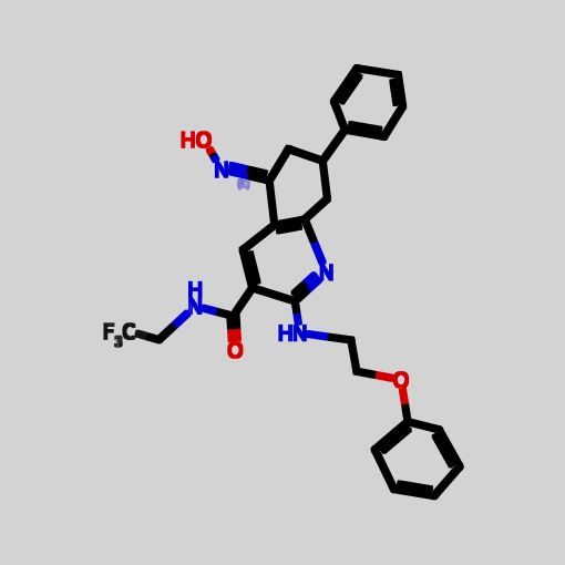 O=C(NCC(F)(F)F)c1cc2c(nc1NCCOc1ccccc1)CC(c1ccccc1)C/C2=N\O